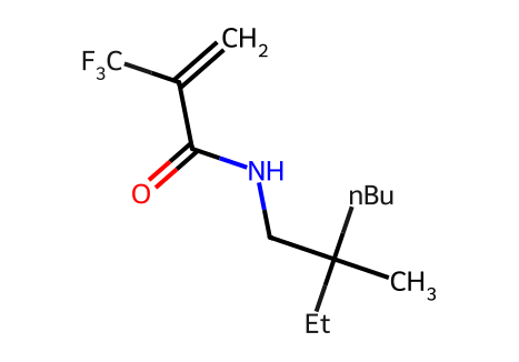 C=C(C(=O)NCC(C)(CC)CCCC)C(F)(F)F